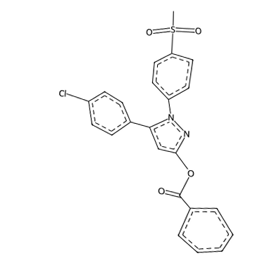 CS(=O)(=O)c1ccc(-n2nc(OC(=O)c3ccccc3)cc2-c2ccc(Cl)cc2)cc1